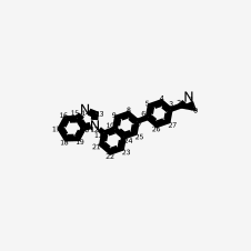 C1=NC1c1ccc(-c2ccc3c(-n4cnc5ccccc54)cccc3c2)cc1